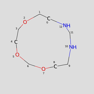 C1COCCOCOCCNCN1